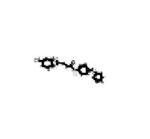 O=C(CCc1nc2cc(Cl)ccc2s1)Nc1ccc(Oc2ccccc2)cc1